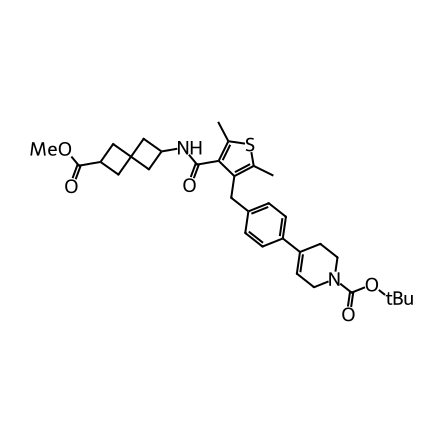 COC(=O)C1CC2(CC(NC(=O)c3c(C)sc(C)c3Cc3ccc(C4=CCN(C(=O)OC(C)(C)C)CC4)cc3)C2)C1